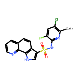 COc1nc(NS(=O)(=O)c2c[nH]c3c2ccc2cccnc23)c(F)cc1Cl